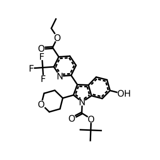 CCOC(=O)c1ccc(-c2c(C3CCOCC3)n(C(=O)OC(C)(C)C)c3cc(O)ccc23)nc1C(F)(F)F